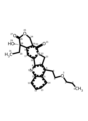 CCCOCCc1c2c(nc3ccccc13)-c1cc3c(c(=O)n1C2)COC(=O)[C@]3(O)CC